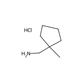 CC1(CN)CCCC1.Cl